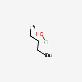 CCC(C)CCCC(C)C.OCl